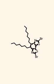 CCCCCCCc1c(CCCCCCC)c2nc(Br)sc2c2sc(Br)nc12